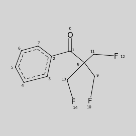 O=C(c1ccccc1)C(CF)(CF)CF